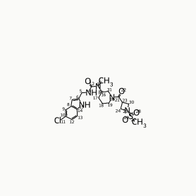 CN(C(=O)NCc1cc2cc(Cl)ccc2[nH]1)[C@@H]1CCCN(C(=O)C2CN(S(C)(=O)=O)C2)C1